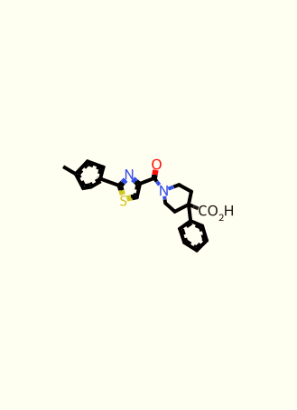 Cc1ccc(-c2nc(C(=O)N3CCC(C(=O)O)(c4ccccc4)CC3)cs2)cc1